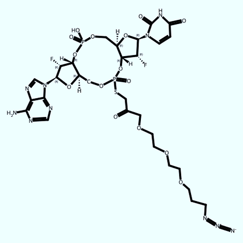 [N-]=[N+]=NCCCOCCOCCOCC(=O)CSP1(=O)OC[C@H]2O[C@@H](n3cnc4c(N)ncnc43)[C@H](F)[C@@H]2OP(=O)(O)OC[C@H]2O[C@@H](n3ccc(=O)[nH]c3=O)[C@H](F)[C@@H]2O1